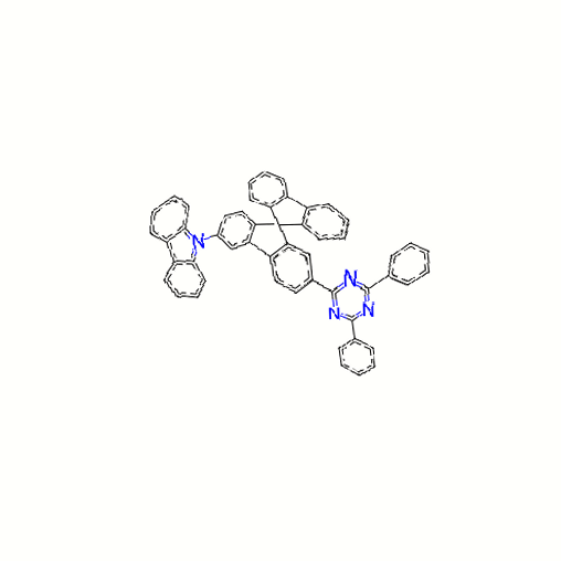 c1ccc(-c2nc(-c3ccccc3)nc(-c3ccc4c(c3)C3(c5ccccc5-c5ccccc53)c3ccc(-n5c6ccccc6c6ccccc65)cc3-4)n2)cc1